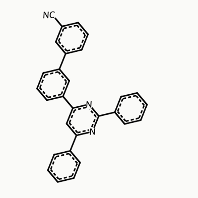 N#Cc1cccc(-c2cccc(-c3cc(-c4ccccc4)nc(-c4ccccc4)n3)c2)c1